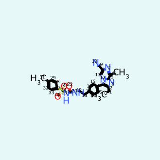 CCc1nc2c(C)nc(C#N)cn2c1-c1ccc(CCNC(=O)NS(=O)(=O)c2ccc(C)cc2)cc1